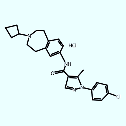 Cc1c(C(=O)Nc2ccc3c(c2)CCN(C2CCC2)CC3)cnn1-c1ccc(Cl)cc1.Cl